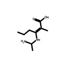 CCC/C(NC(C)N)=C(/C)C(=O)O